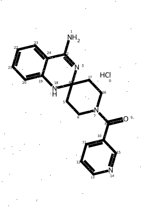 Cl.NC1=NC2(CCN(C(=O)c3cccnc3)CC2)Nc2ccccc21